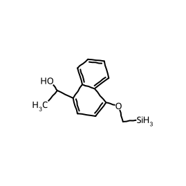 CC(O)c1ccc(OC[SiH3])c2ccccc12